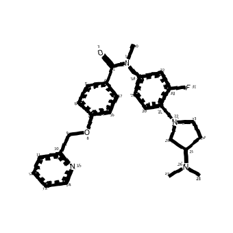 CN(C(=O)c1ccc(OCc2ccccn2)cc1)c1ccc(N2CCC(N(C)C)C2)c(F)c1